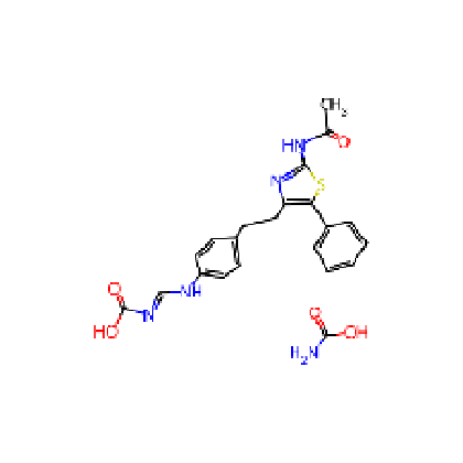 CC(=O)Nc1nc(CCc2ccc(NC=NC(=O)O)cc2)c(-c2ccccc2)s1.NC(=O)O